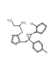 CCC(C)Sc1ncnn1C[C@@]1(c2ccc(F)cc2)O[C@H]1c1ccccc1Cl